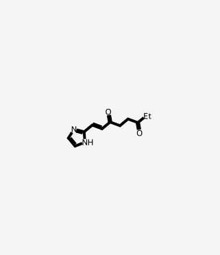 CCC(=O)CCC(=O)/C=C/c1ncc[nH]1